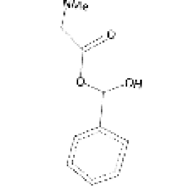 CNCC(=O)OC(O)c1ccccc1